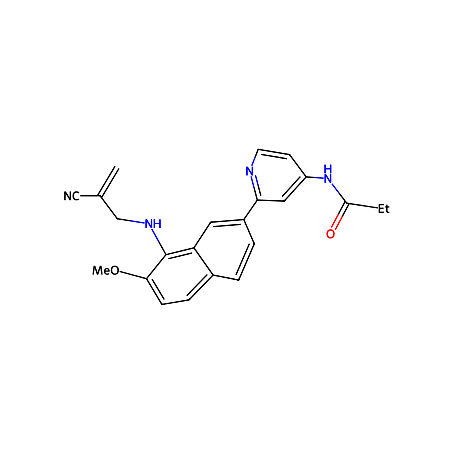 C=C(C#N)CNc1c(OC)ccc2ccc(-c3cc(NC(=O)CC)ccn3)cc12